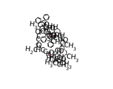 C=C1C2C[C@@H]3O[C@H](C[C@H](C)CO[Si](C)(C)C(C)(C)C)[C@H](C)C3CC(=O)C[C@H]3CC[C@@H]4O[C@@H]5[C@@H](OC(CC(=O)CCC6CC(=C)[C@H](CC[C@@H](C[C@H]1C)O2)O6)[C@@H]5O[Si](c1ccccc1)(c1ccccc1)C(C)(C)C)[C@@H](O[Si](c1ccccc1)(c1ccccc1)C(C)(C)C)[C@H]4O3